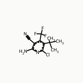 CC(C)(C)c1c(Cl)nc(N)c(C#N)c1C(F)(F)F